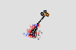 C[C@H]1c2ccc(NC(=O)CCCCCCCCCC[PH](c3ccccc3)(c3ccccc3)c3ccccc3)c(O)c2C(=O)C2=C(O)[C@]3(O)C(=O)C(C(N)=O)=C(O)[C@@H](N(C)C)[C@@H]3[C@@H](O)[C@@H]21